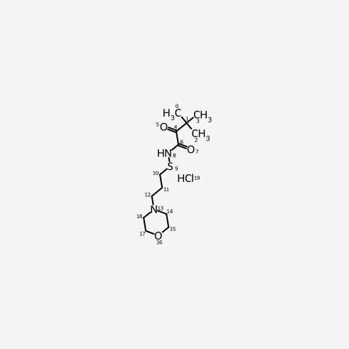 CC(C)(C)C(=O)C(=O)NSCCCN1CCOCC1.Cl